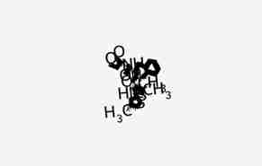 C[C@H]1CSC2(C1)N[C@H](C(=O)N1Cc3ccccc3C[C@H]1C(=O)N[C@H]1CCOC1=O)C(C)(C)S2